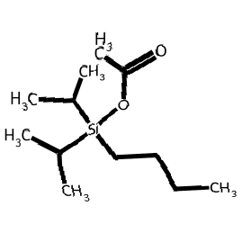 CCCC[Si](OC(C)=O)(C(C)C)C(C)C